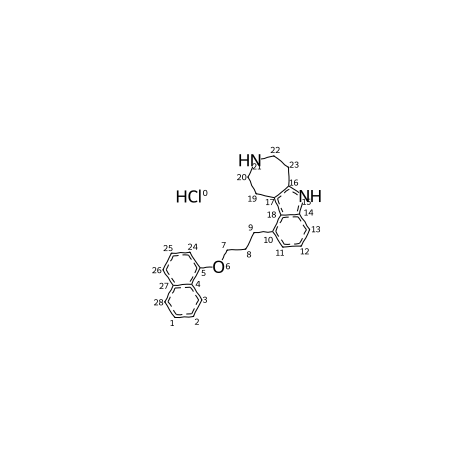 Cl.c1ccc2c(OCCCc3cccc4[nH]c5c(c34)CCNCC5)cccc2c1